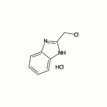 Cl.ClCc1nc2ccccc2[nH]1